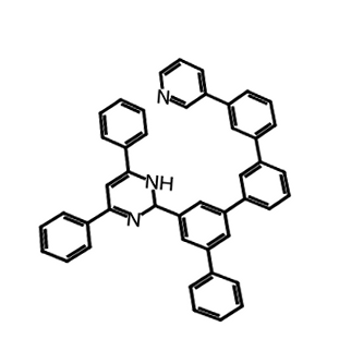 C1=C(c2ccccc2)NC(c2cc(-c3ccccc3)cc(-c3cccc(-c4cccc(-c5cccnc5)c4)c3)c2)N=C1c1ccccc1